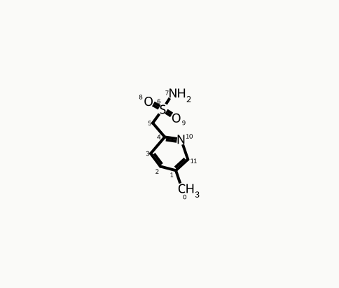 Cc1ccc(CS(N)(=O)=O)nc1